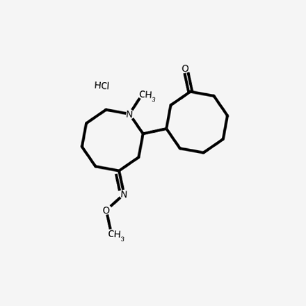 CON=C1CCCCN(C)C(C2CCCCCC(=O)C2)C1.Cl